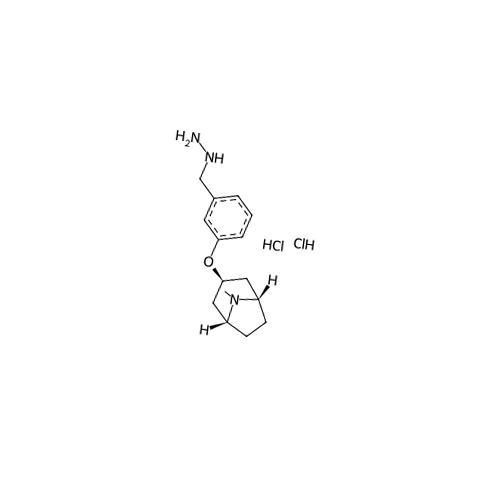 CN1[C@@H]2CC[C@H]1C[C@H](Oc1cccc(CNN)c1)C2.Cl.Cl